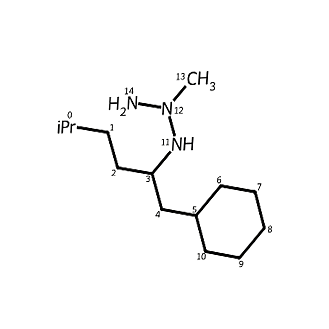 CC(C)CCC(CC1CCCCC1)NN(C)N